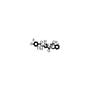 CN(C)c1ccccc1CNC(=O)c1cc(NC(=O)c2cc(F)c(F)cc2Cl)[nH]n1